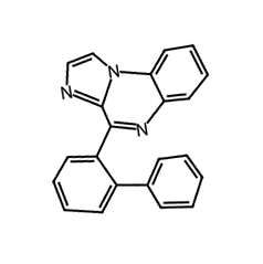 c1ccc(-c2ccccc2-c2nc3ccccc3n3ccnc23)cc1